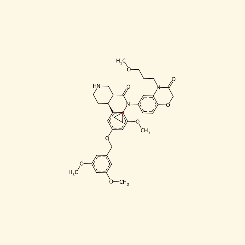 COCCCN1C(=O)COc2ccc(N(C(=O)C3CNCC[C@@H]3c3cc(OC)cc(OCc4cc(OC)cc(OC)c4)c3)C3CC3)cc21